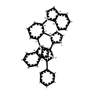 c1ccc(-c2ccc(-c3nccn3-c3c(-n4ccc5ccccc54)cccc3-n3ccc4ccccc43)s2)cc1